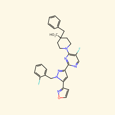 O=C(O)C1(Cc2ccccc2)CCN(c2nc(-c3cc(-c4ccon4)n(Cc4ccccc4F)n3)ncc2F)CC1